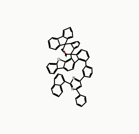 c1ccc(-c2cc(-c3cccc(-c4cccc5c4-c4ccc6c(oc7ccccc76)c4C54c5ccccc5C5(c6ccccc6-c6ccccc65)c5ccccc54)c3)nc(-c3cccc4ccccc34)n2)cc1